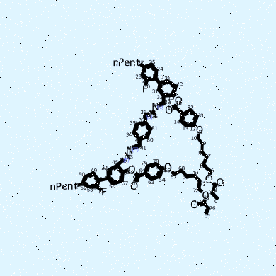 C=CC(=O)OCCCCCCOc1ccc(C(=O)Oc2ccc(-c3ccc(CCCCC)cc3F)cc2/C=N/N=C/c2ccc(/C=N/N=C/c3cc(-c4ccc(CCCCC)cc4F)ccc3OC(=O)c3ccc(OCCCCCCOC(=O)C=C)cc3)cc2)cc1